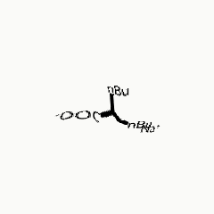 CCCCC(CCCC)C(=O)[O-].[Na+]